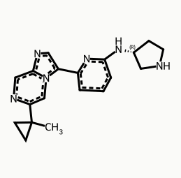 CC1(c2cn3c(-c4cccc(N[C@@H]5CCNC5)n4)cnc3cn2)CC1